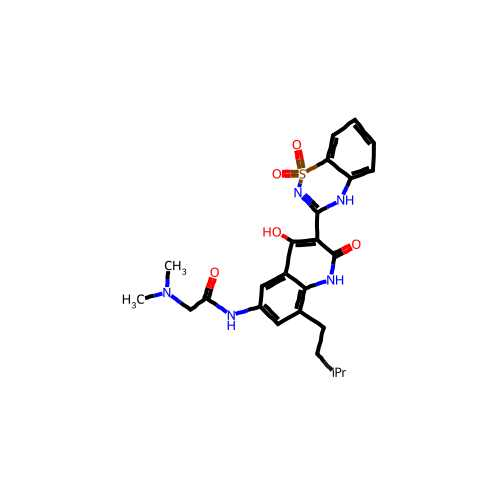 CC(C)CCc1cc(NC(=O)CN(C)C)cc2c(O)c(C3=NS(=O)(=O)c4ccccc4N3)c(=O)[nH]c12